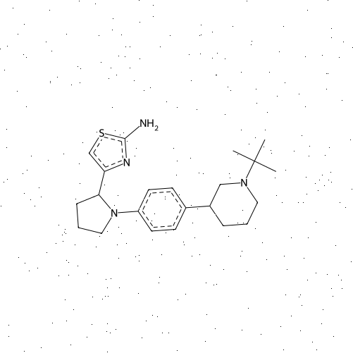 CC(C)(C)N1CCCC(c2ccc(N3CCCC3c3csc(N)n3)cc2)C1